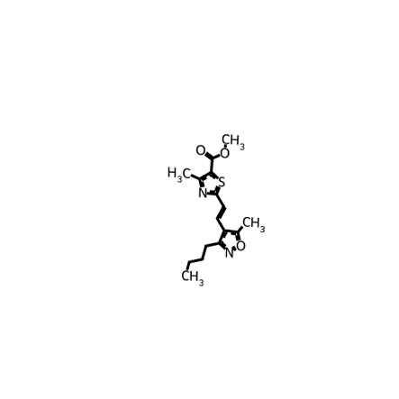 CCCCc1noc(C)c1C=Cc1nc(C)c(C(=O)OC)s1